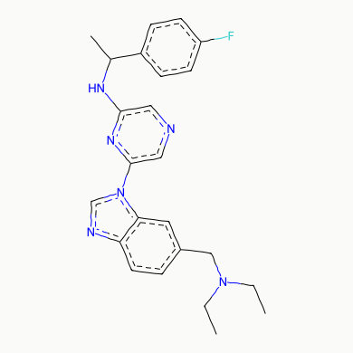 CCN(CC)Cc1ccc2ncn(-c3cncc(NC(C)c4ccc(F)cc4)n3)c2c1